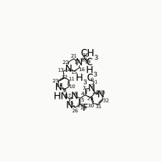 CCn1cc(-c2nc(Nc3ccc(CN4CCN(C(C)C)CC4)cn3)ncc2F)c2cccnc21